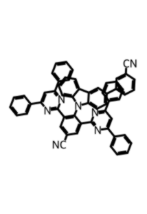 N#Cc1cccc(-c2ccc3c(c2)c2ccccc2n3-c2c(-c3nc(-c4ccccc4)cc(-c4ccccc4)n3)cc(C#N)cc2-c2nc(-c3ccccc3)cc(-c3ccccc3)n2)c1